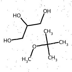 COC(C)(C)C.OCC(O)CO